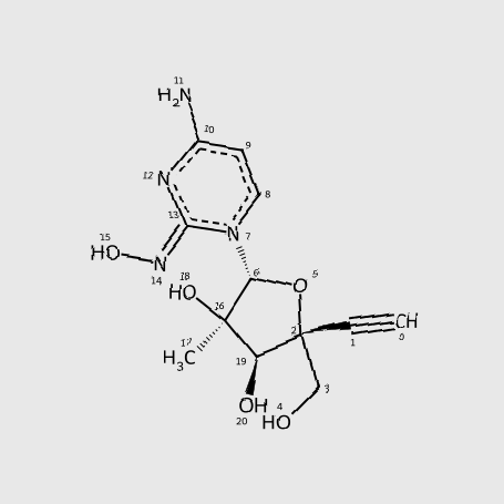 C#C[C@]1(CO)O[C@@H](n2ccc(N)n/c2=N\O)[C@](C)(O)[C@@H]1O